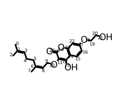 CC(C)=CCCC(C)=CCOc1c(O)c2ccc(OCCO)cc2oc1=O